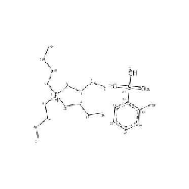 CCCC[PH](CCCC)(CCCC)CCCC.Cc1ccccc1S(=O)(=O)O